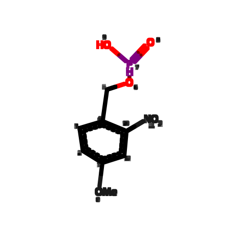 COc1ccc(CO[PH](=O)O)c([N+](=O)[O-])c1